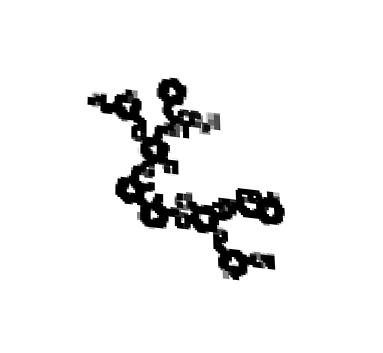 C/N=C/c1cncc(COc2cc(OCc3cccc(-c4cccc(COc5cc(OCc6cncc(C#N)c6)c(CNC(Cc6ccccc6)C(=O)O)cc5Cl)c4C)c3C)c(Cl)cc2CNC(Cc2ccccc2)C(=O)O)c1